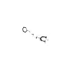 CC(C)(NC(=O)OCc1ccccc1)c1cc(Cl)nc(Cl)c1